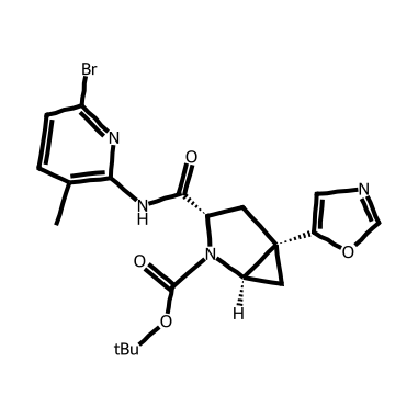 Cc1ccc(Br)nc1NC(=O)[C@@H]1C[C@@]2(c3cnco3)C[C@H]2N1C(=O)OC(C)(C)C